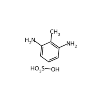 Cc1c(N)cccc1N.O=S(=O)(O)O